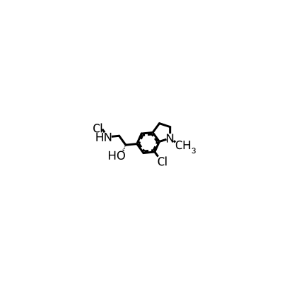 CN1CCc2cc([C@H](O)CNCl)cc(Cl)c21